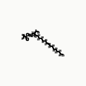 C=C(C)C(=O)ONCC(CC)CCCCCCC=CCCCCCCCC